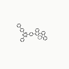 c1ccc(-c2ccc(-c3nc(-c4ccccc4)nc(-c4ccc(-c5ccc(-c6cccc7c6C6(CCCCC6)c6ccccc6-7)c6ccccc56)cc4)n3)cc2)cc1